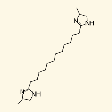 CC1CNC(CCCCCCCCCCCCC2=NC(C)CN2)=N1